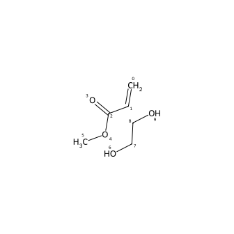 C=CC(=O)OC.OCCO